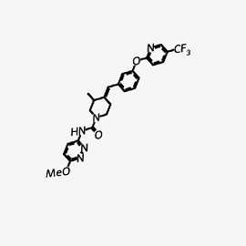 COc1ccc(NC(=O)N2CCC(=Cc3cccc(Oc4ccc(C(F)(F)F)cn4)c3)C(C)C2)nn1